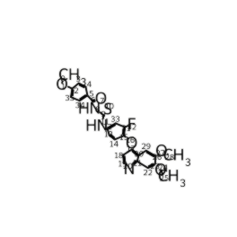 COc1ccc(C(=O)NC(=S)Nc2ccc(Oc3ccnc4cc(OC)c(OC)cc34)c(F)c2)cc1